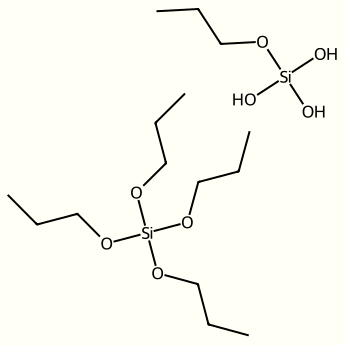 CCCO[Si](O)(O)O.CCCO[Si](OCCC)(OCCC)OCCC